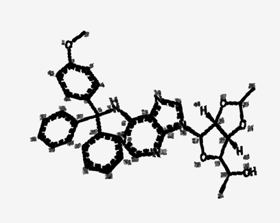 COc1ccc(C(Nc2ncnc3c2ncn3[C@@H]2O[C@H]([C@H](C)O)[C@H]3OC(C)O[C@H]32)(c2ccccc2)c2ccccc2)cc1